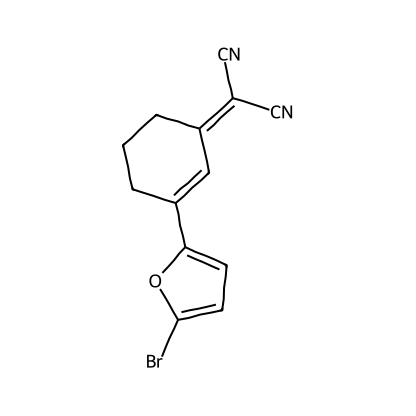 N#CC(C#N)=C1C=C(c2ccc(Br)o2)CCC1